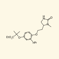 CCCc1cc(OC(C)(C)C(=O)OCC)ccc1OCCC1CNC(=O)N1C